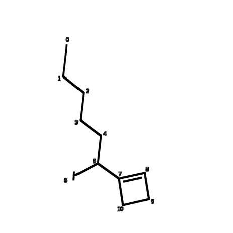 ICCCCC(I)C1=CCC1